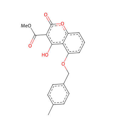 COC(=O)c1c(O)c2c(OCc3ccc(C)cc3)cccc2oc1=O